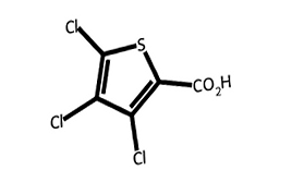 O=C(O)c1sc(Cl)c(Cl)c1Cl